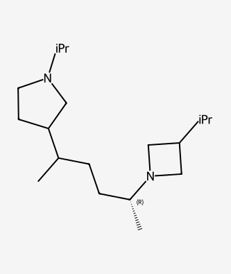 CC(C)C1CN([C@H](C)CCC(C)C2CCN(C(C)C)C2)C1